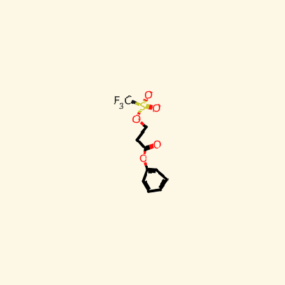 O=C(CCOS(=O)(=O)C(F)(F)F)Oc1ccccc1